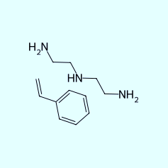 C=Cc1ccccc1.NCCNCCN